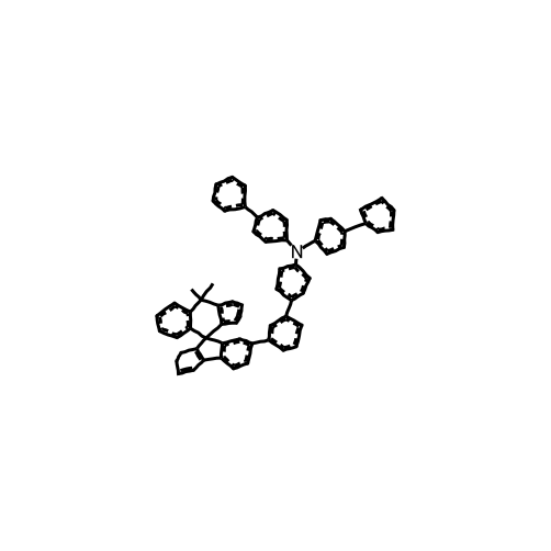 CC1(C)c2ccccc2C2(C3=C(C=CCC3)c3ccc(-c4cccc(-c5ccc(N(c6ccc(-c7ccccc7)cc6)c6ccc(-c7ccccc7)cc6)cc5)c4)cc32)c2ccccc21